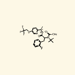 C[C@@H](NC(=O)C(Cc1ccccc1F)N(C(=O)O)C(C)(C)C)c1ccc(OCC(F)(F)F)cn1